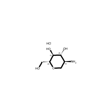 Cl.N[C@H]1CO[C@H](CO)[C@@H](O)[C@@H]1O